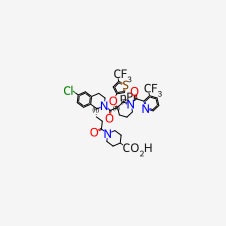 CCC[C@H]1N(C(=O)c2ncccc2C(F)(F)F)CCC[C@]1(Oc1csc(C(F)(F)F)c1)C(=O)N1CCc2cc(Cl)ccc2[C@H]1CCC(=O)N1CCC(C(=O)O)CC1